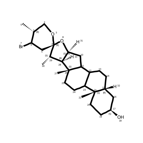 C[C@@H]1CO[C@]2(CC1Br)O[C@H]1CC3C4CC[C@@H]5C[C@@H](O)CC[C@]5(C)C4CC[C@]3(C)[C@H]1[C@@H]2C